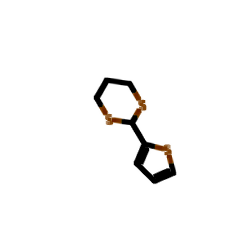 c1csc(C2SCCCS2)c1